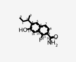 CCC(C)c1cc2ccc(C(N)=O)c(F)c2cc1O